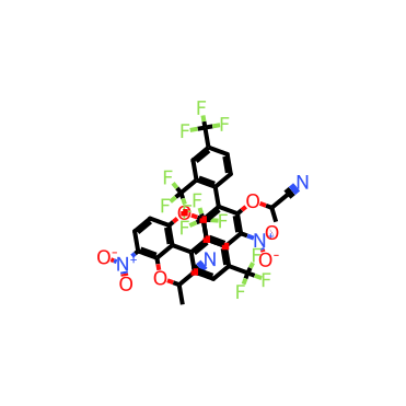 CC(C#N)Oc1c([N+](=O)[O-])ccc(Oc2ccc([N+](=O)[O-])c(OC(C)C#N)c2-c2ccc(C(F)(F)F)cc2C(F)(F)F)c1-c1ccc(C(F)(F)F)cc1C(F)(F)F